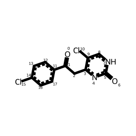 O=C(Cc1nc(=O)[nH]cc1Cl)c1ccc(Cl)cc1